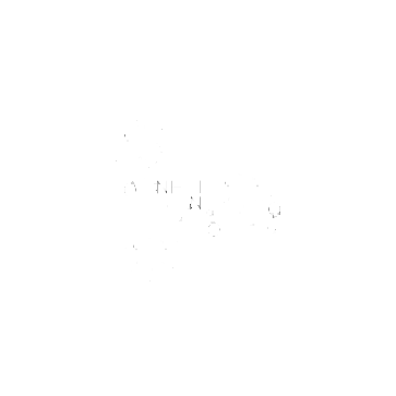 O=C(NC(CNC(=O)c1cccc2occc12)Cc1ccccc1)c1ccccc1